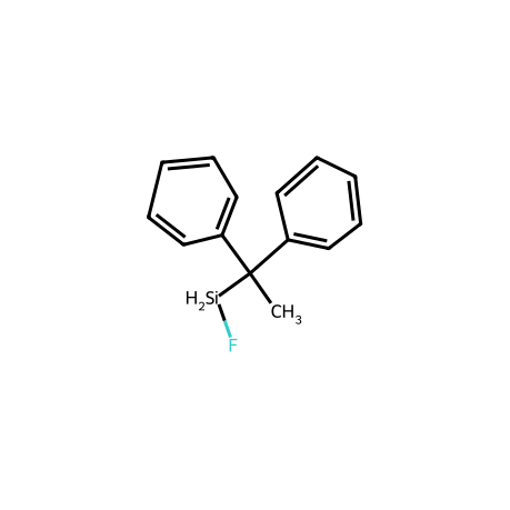 CC([SiH2]F)(c1ccccc1)c1ccccc1